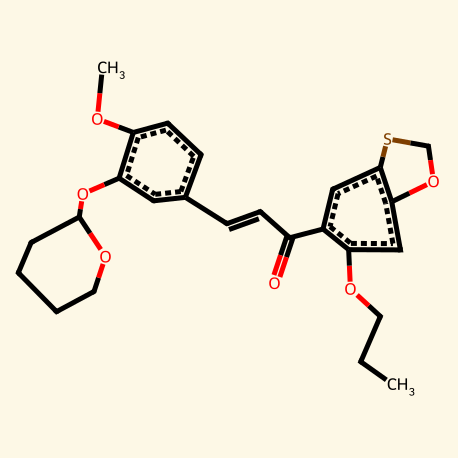 CCCOc1cc2c(cc1C(=O)C=Cc1ccc(OC)c(OC3CCCCO3)c1)SCO2